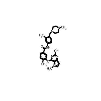 Cc1ccc(C(=O)Nc2ccc(CN3CCN(C)CC3)c(C(F)(F)F)c2)cc1Oc1nc(O)nc2ccn(C)c12